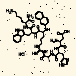 C[C@@H](NC(=O)[C@H](Cc1c[nH]cn1)NC(=O)[C@@H](N)CC(=O)O)C(=O)NC(=N)NCCC[C@H](Nc1ccc2ccccc2c1)C(=O)N[C@@H](Cc1c[nH]c2ccccc12)C(=O)N[C@@H](CCCCN)C(N)=O.Cl